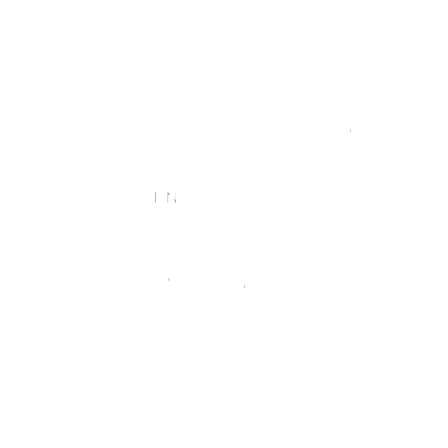 C=CC(CCCCO)NCC(=O)OC